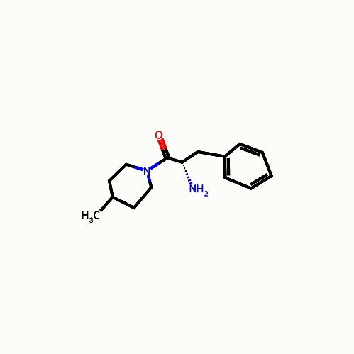 CC1CCN(C(=O)[C@@H](N)Cc2ccccc2)CC1